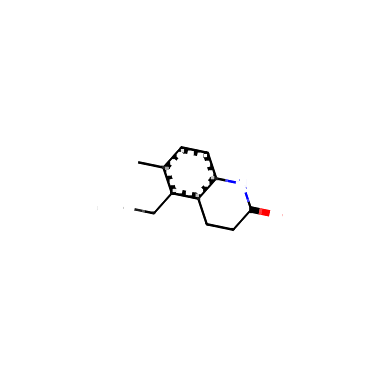 Cc1ccc2c(c1CC=O)CCC(=O)N2